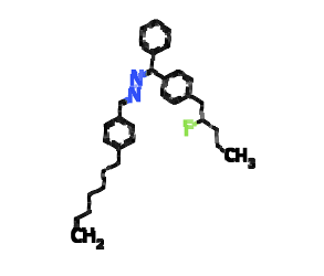 C=CCCCCCc1ccc(C=NN=C(c2ccccc2)c2ccc(CC(F)CCC)cc2)cc1